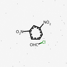 O=CCl.O=[N+]([O-])c1cccc([N+](=O)[O-])c1